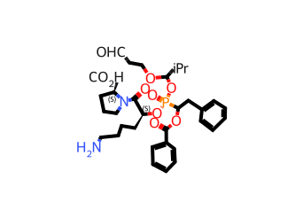 CC(C)C(OCCC=O)OP(=O)(O[C@@H](CCCCN)C(=O)N1CCC[C@H]1C(=O)O)C(Cc1ccccc1)OC(=O)c1ccccc1